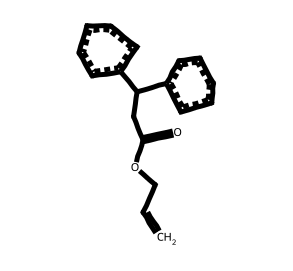 C=CCOC(=O)CC(c1ccccc1)c1ccccc1